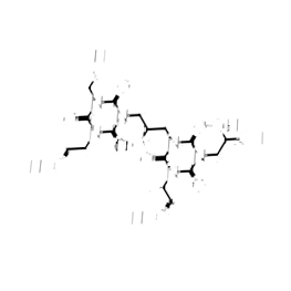 C=CCn1c(=O)n(CC)c(=O)n(CC(O)Cn2c(=O)n(CC=C)c(=O)n(CC(C)O)c2=O)c1=O